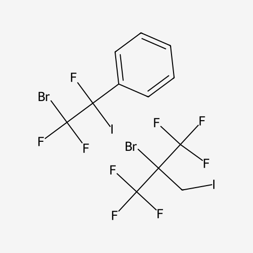 FC(F)(Br)C(F)(I)c1ccccc1.FC(F)(F)C(Br)(CI)C(F)(F)F